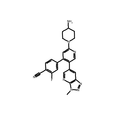 Cn1nnc2cc(-c3cnc(N4CCC(N)CC4)cc3-c3ccc(C#N)c(F)c3)cnc21